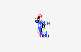 CCCCC(=O)Nc1cncc(-c2cc3c(-c4nc5c(-c6ccoc6)nccc5[nH]4)n[nH]c3cc2F)c1